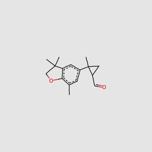 Cc1cc(C2(C)CC2C=O)cc2c1OCC2(C)C